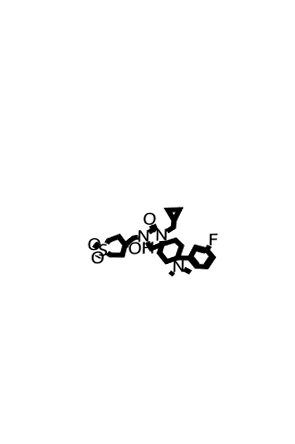 CN(C)C1(c2cccc(F)c2)CCC2(CC1)CN(CC1(O)CCS(=O)(=O)CC1)C(=O)N2CC1CC1